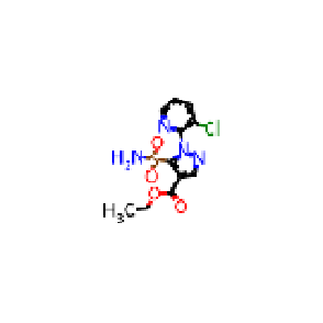 CCOC(=O)c1cnn(-c2ncccc2Cl)c1S(N)(=O)=O